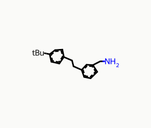 CC(C)(C)c1ccc(CCc2cccc(CN)c2)cc1